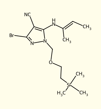 C/C=C(\C)Nc1c(C#N)c(Br)nn1COCC[Si](C)(C)C